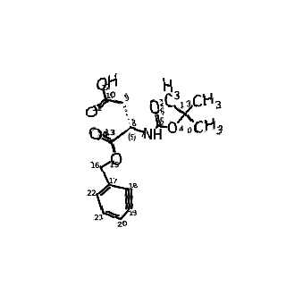 CC(C)(C)OC(=O)N[C@@H](CC(=O)O)C(=O)OCc1c#cccc1